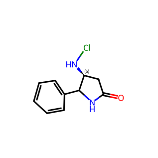 O=C1C[C@H](NCl)C(c2ccccc2)N1